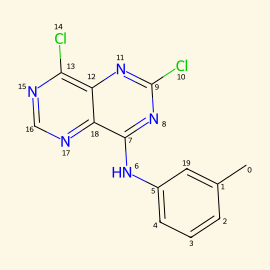 Cc1cccc(Nc2nc(Cl)nc3c(Cl)ncnc23)c1